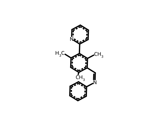 Cc1cc(C)c(-c2ccccn2)c(C)c1/C=N\c1ccccc1